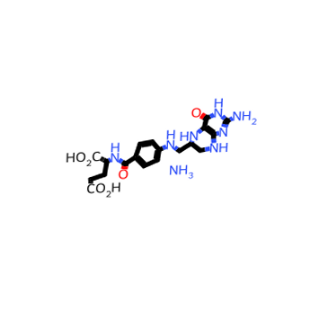 N.Nc1nc2c(c(=O)[nH]1)NC(CNc1ccc(C(=O)NC(CCC(=O)O)C(=O)O)cc1)CN2